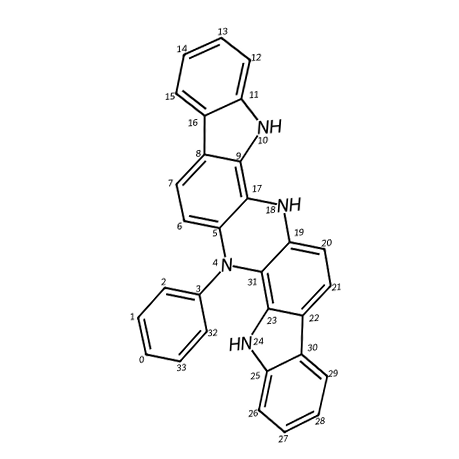 c1ccc(N2c3ccc4c([nH]c5ccccc54)c3Nc3ccc4c([nH]c5ccccc54)c32)cc1